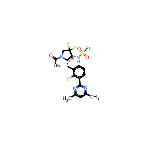 CCS(=O)(=O)N[C@@H]1[C@H](Cc2cccc(-c3nc(C)cc(C)n3)c2F)N(C(=O)C(C)(C)C)CC1(F)F